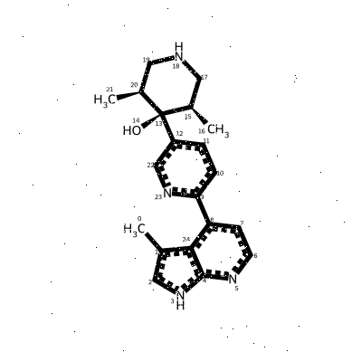 Cc1c[nH]c2nccc(-c3ccc([C@@]4(O)[C@H](C)CNC[C@@H]4C)cn3)c12